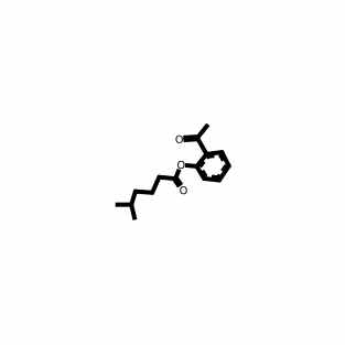 CC(=O)c1ccccc1OC(=O)CCCC(C)C